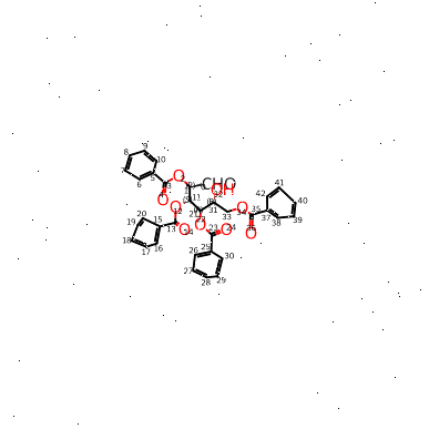 O=C[C@H](OC(=O)c1ccccc1)[C@@H](OC(=O)c1ccccc1)[C@H](OC(=O)c1ccccc1)[C@H](O)COC(=O)c1ccccc1